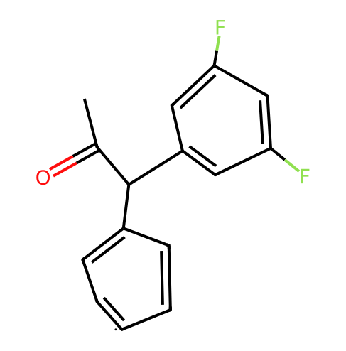 CC(=O)C(c1cc[c]cc1)c1cc(F)cc(F)c1